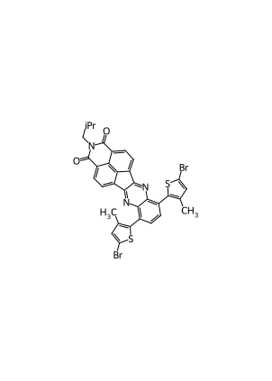 Cc1cc(Br)sc1-c1ccc(-c2sc(Br)cc2C)c2nc3c(nc12)-c1ccc2c4c(ccc-3c14)C(=O)N(CC(C)C)C2=O